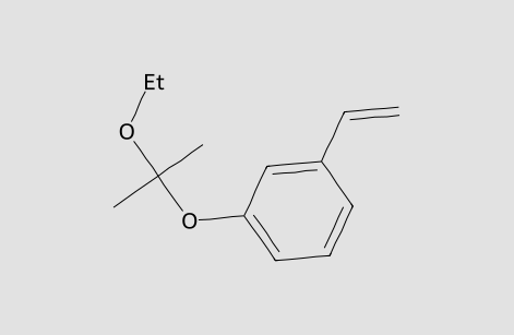 C=Cc1cccc(OC(C)(C)OCC)c1